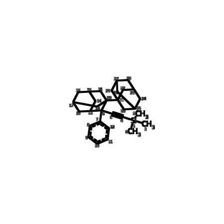 C[Si](C)(C)C#CC1(c2ccccc2)C2CC3CC(C2)CC1(C12CC4CC(CC(C4)C1)C2)C3